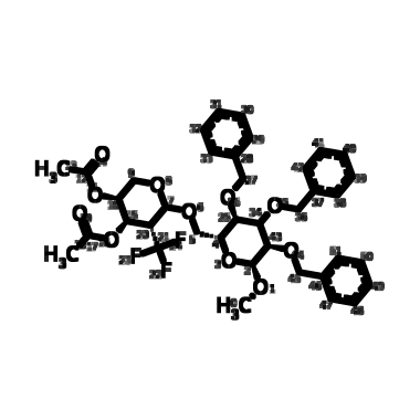 CO[C@H]1O[C@H](COC2OC[C@H](OC(C)=O)[C@H](OC(C)=O)[C@H]2C(F)(F)F)[C@@H](OCc2ccccc2)C(OCc2ccccc2)[C@H]1OCc1ccccc1